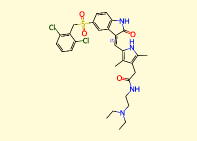 CCN(CC)CCNC(=O)Cc1c(C)[nH]c(/C=C2\C(=O)Nc3ccc(S(=O)(=O)Cc4c(Cl)cccc4Cl)cc32)c1C